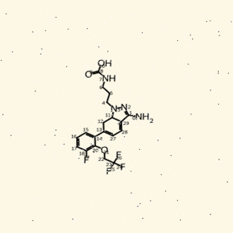 NC1=NN(CCCNC(=O)O)C2CC(c3cccc(F)c3OCC(F)(F)F)=CC=C12